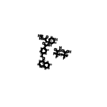 O=C(CC1(NC(=O)c2ccc(COc3ccnc4ccccc34)cc2)CCNCC1)NO.O=C(O)C(F)(F)F.O=C(O)C(F)(F)F